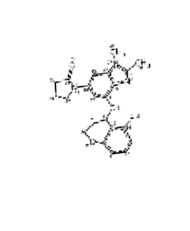 Cc1nc2c(OC3CCOc4cccc(F)c43)cc(N3CCCC3=O)cc2n1C